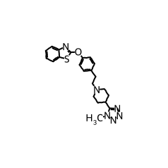 Cn1nnnc1C1CCN(CCc2ccc(Oc3nc4ccccc4s3)cc2)CC1